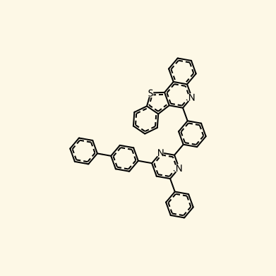 c1ccc(-c2ccc(-c3cc(-c4ccccc4)nc(-c4cccc(-c5nc6ccccc6c6sc7ccccc7c56)c4)n3)cc2)cc1